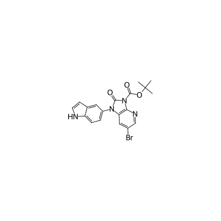 CC(C)(C)OC(=O)n1c(=O)n(-c2ccc3[nH]ccc3c2)c2cc(Br)cnc21